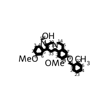 COc1ccc2c(c1)c1c(n2CO)CN2CCc3cc(OCc4ccccc4C)c(OC)cc3C2C1